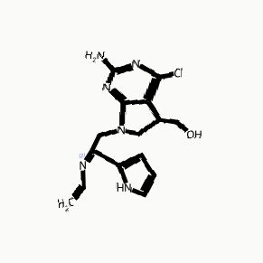 C=C/N=C(/CN1CC(CO)c2c(Cl)nc(N)nc21)c1ccc[nH]1